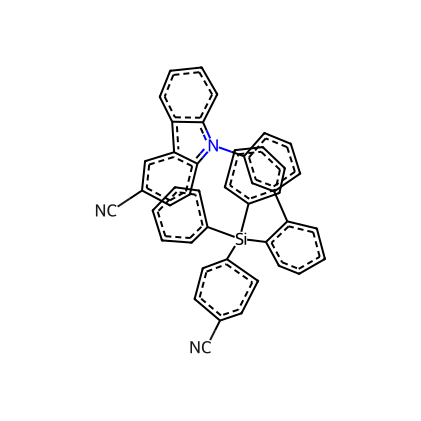 N#Cc1ccc([Si](c2ccccc2)(c2ccccc2)c2ccccc2-c2cccc(-n3c4ccccc4c4cc(C#N)ccc43)c2)cc1